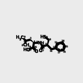 CC(C)C[C@H](NC(=O)[C@@H](CS)Cc1ccccc1)C(=O)O